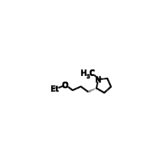 CCOCCC[C@H]1CCCN1C